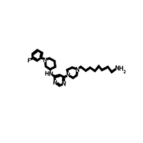 NCCCCCCCCN1CCN(c2cc(N[C@@H]3CCCN(c4cccc(F)c4)C3)ncn2)CC1